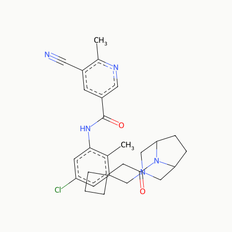 Cc1ncc(C(=O)Nc2cc(Cl)cc(CN3CC4CCC(C3)N4C(=O)CC3CCC3)c2C)cc1C#N